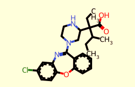 CCC(C)C(CC)(C(=O)O)C1CN(C2=Nc3cc(Cl)ccc3Oc3ccccc32)CCN1